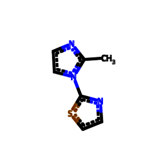 Cc1nccn1-c1nccs1